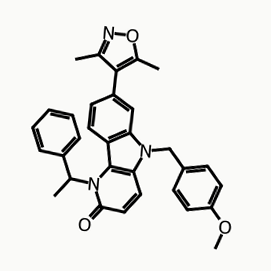 COc1ccc(Cn2c3cc(-c4c(C)noc4C)ccc3c3c2ccc(=O)n3C(C)c2ccccc2)cc1